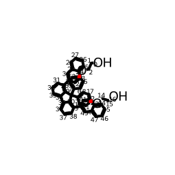 OCCOc1ccc(C2(c3ccc(OCCO)cc3)c3c(-c4ccc5ccccc5c4)cccc3-c3cccc(-c4ccc5ccccc5c4)c32)cc1